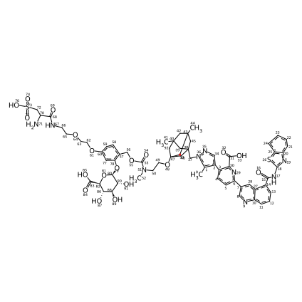 Cc1c(-c2ccc(-c3cnc4cccc(C(=O)Nc5nc6ccccc6s5)c4c3)nc2C(=O)O)cnn1CC12CC3(C)CC(C)(C1)CC(OCCN(C)C(=O)OCc1ccc(OCCOCCNC(=O)C(N)CS(=O)(=O)O)cc1O[C@@H]1O[C@H](C(=O)O)[C@@H](O)[C@H](O)[C@H]1O)(C3)C2